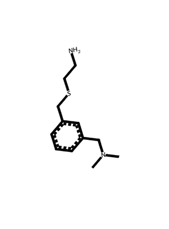 CN(C)Cc1cccc(CSCCN)c1